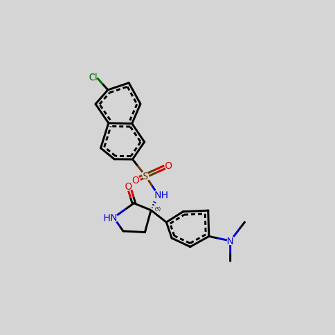 CN(C)c1ccc([C@@]2(NS(=O)(=O)c3ccc4cc(Cl)ccc4c3)CCNC2=O)cc1